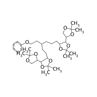 CC1(C)OCC(C2OC(C)(C)OC2CCCC(CCOc2ccccc2)CCC2OC(C)(C)OC2C2COC(C)(C)O2)O1